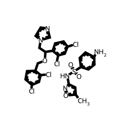 Cc1cc(NS(=O)(=O)c2ccc(N)cc2)no1.Clc1ccc(COC(Cn2ccnc2)c2ccc(Cl)cc2Cl)c(Cl)c1